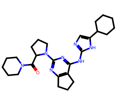 O=C(C1CCCN1c1nc2c(c(Nc3ncc(C4CCCCC4)[nH]3)n1)CCC2)N1CCCCC1